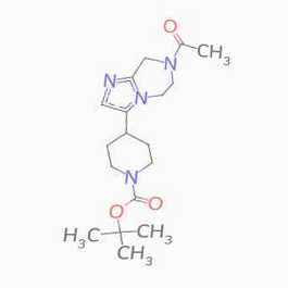 CC(=O)N1CCn2c(C3CCN(C(=O)OC(C)(C)C)CC3)cnc2C1